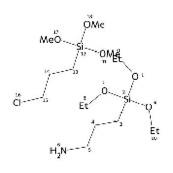 CCO[Si](CCCN)(OCC)OCC.CO[Si](CCCCl)(OC)OC